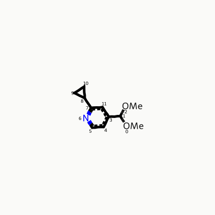 COC(OC)c1ccnc(C2CC2)c1